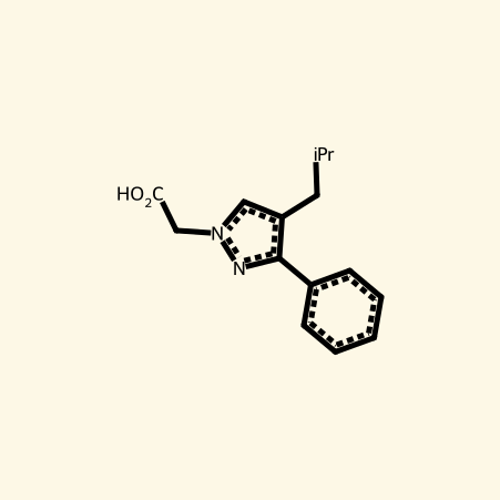 CC(C)Cc1cn(CC(=O)O)nc1-c1ccccc1